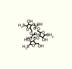 BC1OC(COP(=O)(O)OC2C(COP(=O)(O)OC3C(CO)OC(B)C3O)OC(B)C2O)C(O)C1O